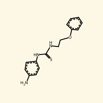 Nc1ccc(NC(=S)NCCOc2ccccc2)cc1